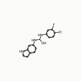 OC(Nc1ccc(Cl)c(F)c1)Nc1ccc2cc[nH]c2c1